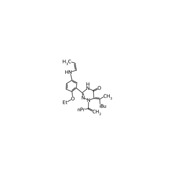 C=C(CCC)N1N=C(c2cc(N/C=C\C)ccc2OCC)NC(=O)/C1=C(\C)C(C)CC